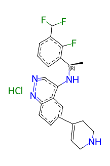 C[C@@H](Nc1cnnc2ccc(C3=CCNCC3)cc12)c1cccc(C(F)F)c1F.Cl